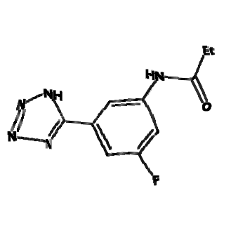 CCC(=O)Nc1cc(F)cc(-c2nnn[nH]2)c1